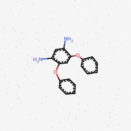 Nc1cc(N)c(Oc2ccccc2)cc1Oc1ccccc1